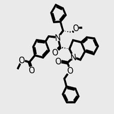 COC[C@@H](c1ccccc1)N(Cc1ccc(C(=O)OC)cc1)C(=O)[C@@H]1Cc2ccccc2CN1C(=O)OCc1ccccc1